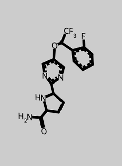 NC(=O)C1CCC(c2ncc(OC(c3ccccc3F)C(F)(F)F)cn2)N1